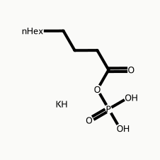 CCCCCCCCCC(=O)OP(=O)(O)O.[KH]